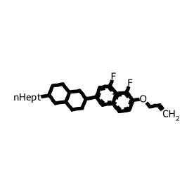 C=CCOc1ccc2cc(C3CCC4CC(CCCCCCC)CCC4C3)cc(F)c2c1F